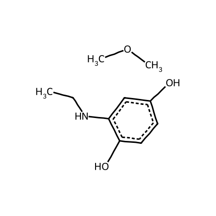 CCNc1cc(O)ccc1O.COC